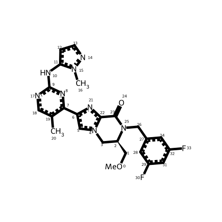 COC[C@H]1Cn2cc(-c3nc(Nc4ccnn4C)ncc3C)nc2C(=O)N1Cc1cc(F)cc(F)c1